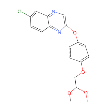 CCOC(COc1ccc(Oc2cnc3cc(Cl)ccc3n2)cc1)OCC